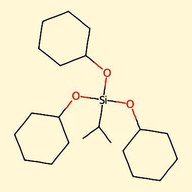 CC(C)[Si](OC1CCCCC1)(OC1CCCCC1)OC1CCCCC1